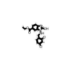 CCOC(=O)c1ccc2nc(O)n(NCc3ccc(Cl)cc3Cl)c2c1